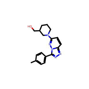 Cc1ccc(-c2nnc3ccc(N4CCCC(CO)C4)nn23)cc1